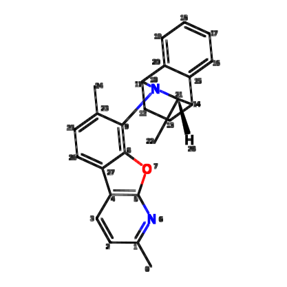 Cc1ccc2c(n1)oc1c(N3C4CCC(c5ccccc54)[C@@H]3C)c(C)ccc12